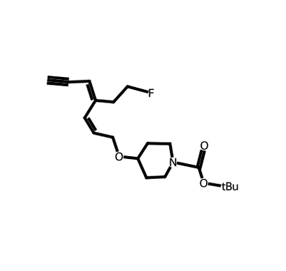 C#C/C=C(\C=C/COC1CCN(C(=O)OC(C)(C)C)CC1)CCF